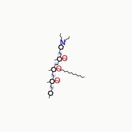 CCCCCCCCCCCCOc1cc(/C=C/c2cc(C)c(/C=C/c3ccc(C)cc3)cc2OC)c(C)cc1/C=C/c1cc(OC)c(/C=C/c2ccc(N(CCCC)CCCC)cc2)cc1C